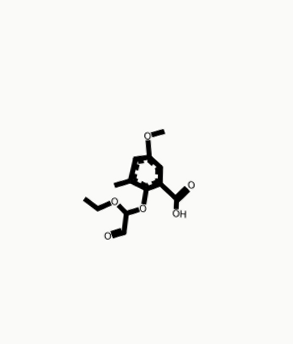 CCOC(C=O)Oc1c(C)cc(OC)cc1C(=O)O